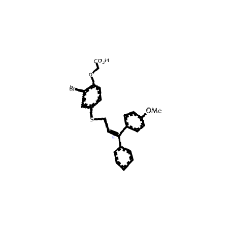 COc1ccc(/C(=C\CSc2ccc(OCC(=O)O)c(Br)c2)c2ccccc2)cc1